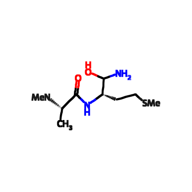 CN[C@@H](C)C(=O)N[C@@H](CCSC)C(N)O